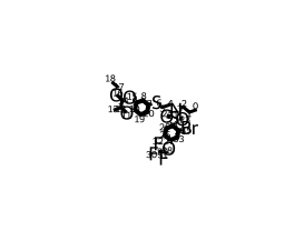 CCCN(CCSc1ccc(OC(C)C(=O)OCC)cc1)S(=O)(=O)c1ccc(OC(F)(F)F)cc1Br